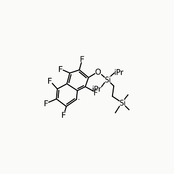 CC(C)[Si](CC[Si](C)(C)C)(Oc1c(F)c(F)c2c(F)c(F)c(F)[c]c2c1F)C(C)C